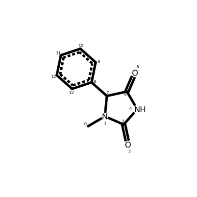 CN1C(=O)NC(=O)C1c1ccccc1